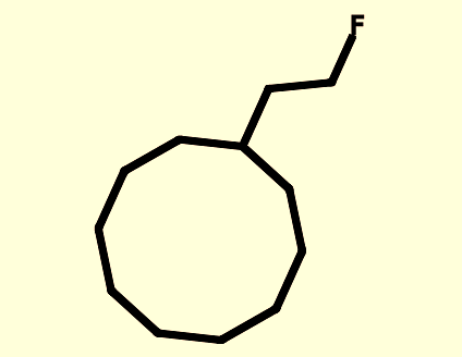 FCCC1CCCCCCCCC1